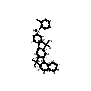 Cc1ccccc1Nc1ccc2c(c1)C(C)(C)c1cc3c(cc1-2)C(C)(C)c1ccc2ccccc2c1-3